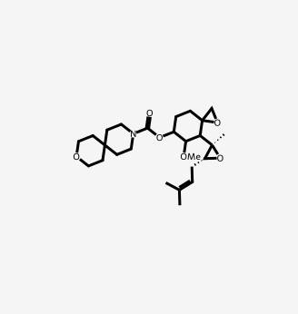 COC1C(OC(=O)N2CCC3(CCOCC3)CC2)CCC2(CO2)C1[C@@]1(C)O[C@@H]1CC=C(C)C